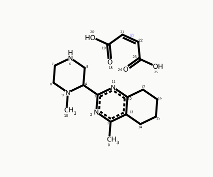 Cc1nc(C2CNCCN2C)nc2c1CCCC2.O=C(O)/C=C\C(=O)O